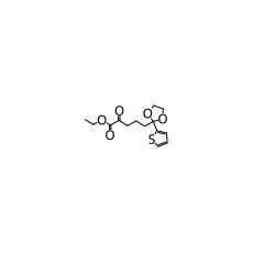 CCOC(=O)C(=O)CCCC1(c2cccs2)OCCO1